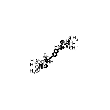 COC(=O)N[C@H](C(=O)N1CCC[C@H]1c1ncc(-c2ccc3cc(C#Cc4[nH]c([C@@H]5CCCN5C(=O)[C@@H](NC(=O)OC)[C@@H](C)OC)nc4C(F)(F)F)ccc3c2)[nH]1)[C@@H](C)OC